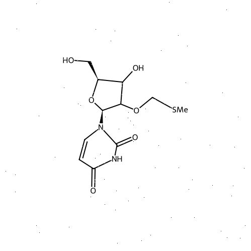 CSCOC1C(O)[C@H](CO)O[C@@H]1n1ccc(=O)[nH]c1=O